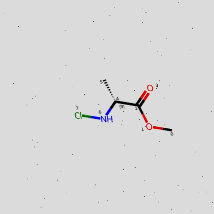 COC(=O)[C@@H](C)NCl